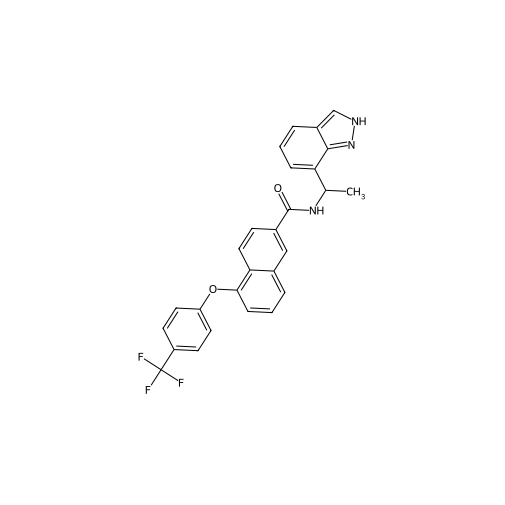 CC(NC(=O)c1ccc2c(Oc3ccc(C(F)(F)F)cc3)cccc2c1)c1cccc2c[nH]nc12